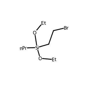 CCC[Si](CCBr)(OCC)OCC